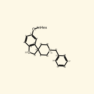 CCCCCCOc1ccc2c(c1)C1(CCN(Cc3ccccc3)CC1)CO2